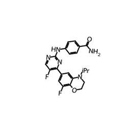 CC(C)N1CCOc2c(F)cc(-c3nc(Nc4ccc(C(N)=O)cc4)ncc3F)cc21